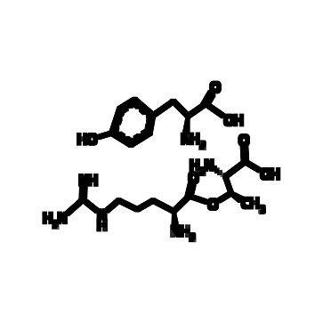 C[C@@H](OC(=O)[C@@H](N)CCCNC(=N)N)[C@H](N)C(=O)O.N[C@@H](Cc1ccc(O)cc1)C(=O)O